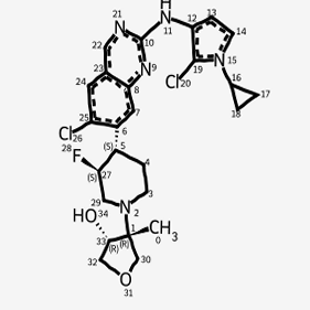 C[C@@]1(N2CC[C@@H](c3cc4nc(Nc5ccn(C6CC6)c5Cl)ncc4cc3Cl)[C@H](F)C2)COC[C@@H]1O